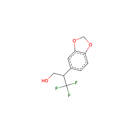 OCC(c1ccc2c(c1)OCO2)C(F)(F)F